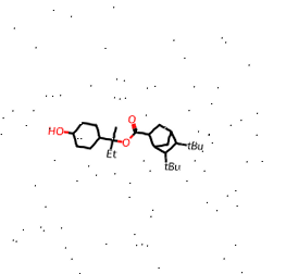 CCC(C)(OC(=O)C1CC2CC1C(C(C)(C)C)C2C(C)(C)C)C1CCC(O)CC1